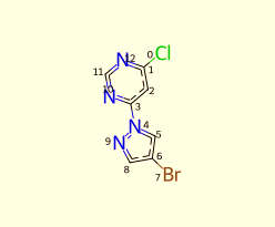 Clc1cc(-n2cc(Br)cn2)ncn1